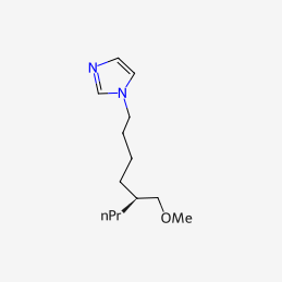 CCC[C@@H](CCCCn1ccnc1)COC